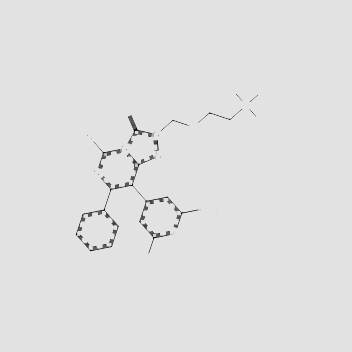 Cc1cc(-c2c(-c3ccccc3)nc(N)n3c(=O)n(COCCS(C)(C)C)nc23)cc(C)n1